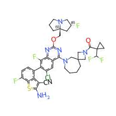 N#Cc1c(N)sc2c(F)ccc(-c3c(Cl)cc4c(N5CCCCC6(CN(C(=O)C7(C(F)F)CC7)C6)C5)nc(OC[C@@]56CCCN5C[C@H](F)C6)nc4c3F)c12